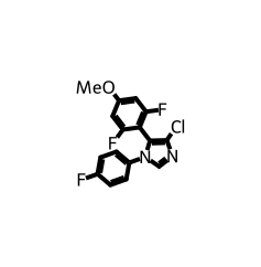 COc1cc(F)c(-c2c(Cl)ncn2-c2ccc(F)cc2)c(F)c1